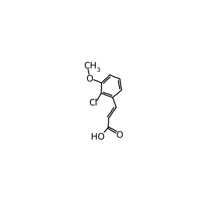 COc1cccc(C=CC(=O)O)c1Cl